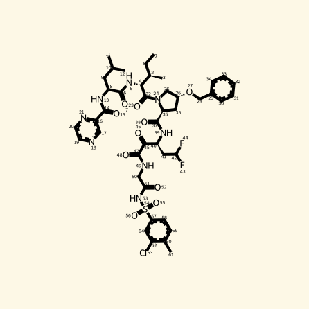 CC[C@@H](C)[C@@H](NC(=O)C(CC(C)C)NC(=O)c1cnccn1)C(=O)N1C[C@H](OCc2ccccc2)C[C@H]1C(=O)N[C@@H](CC(F)F)C(=O)C(=O)NCC(=O)NS(=O)(=O)c1ccc(C)c(Cl)c1